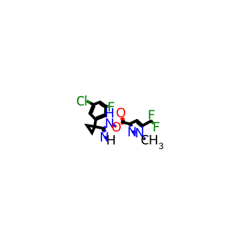 [H]/N=C(\NOC(=O)c1cc(C(F)F)n(C)n1)C1(c2cc(F)cc(Cl)c2)CC1